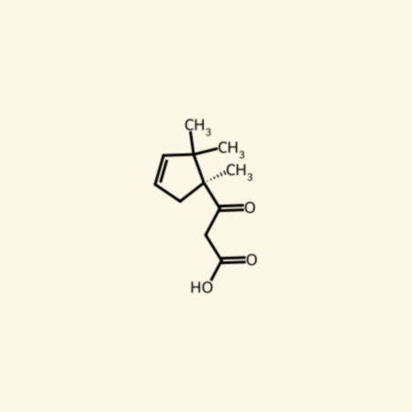 CC1(C)C=CC[C@]1(C)C(=O)CC(=O)O